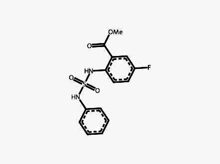 COC(=O)c1cc(F)ccc1NS(=O)(=O)Nc1ccccc1